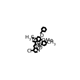 COc1cc2c(-c3cc4c(Cl)ccnc4n3S(=O)(=O)c3ccc(C)cc3)cn(C)c2cc1OCc1ccccc1